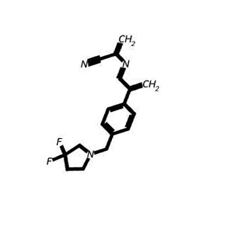 C=C(C#N)/N=C/C(=C)c1ccc(CN2CCC(F)(F)C2)cc1